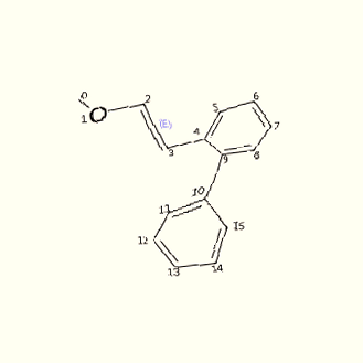 CO/C=C/c1ccccc1-c1ccccc1